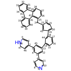 C1=CC(c2cc(-c3ccncc3)cc(-c3cccc(-c4cccc(Cc5cccc6c7ccccc7c7ccccc7c56)c4)c3)c2)=CCN1